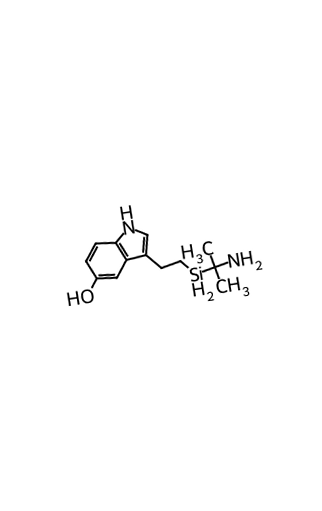 CC(C)(N)[SiH2]CCc1c[nH]c2ccc(O)cc12